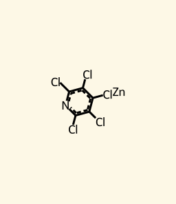 Clc1nc(Cl)c(Cl)c(Cl)c1Cl.[Zn]